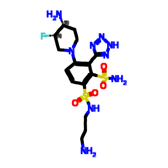 NCCCNS(=O)(=O)c1ccc(N2CC[C@@H](N)[C@@H](F)C2)c(-c2nn[nH]n2)c1S(N)(=O)=O